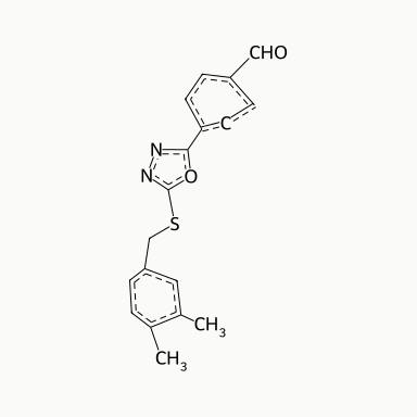 Cc1ccc(CSc2nnc(-c3ccc(C=O)cc3)o2)cc1C